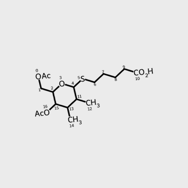 CC(=O)OCC1OC(SCCCCC(=O)O)C(C)C(C)C1OC(C)=O